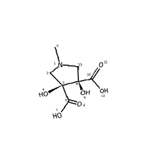 CN1C[C@@](O)(C(=O)O)[C@@](O)(C(=O)O)C1